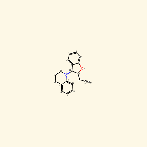 CNCC1Oc2ccccc2C1N1CCCc2ccccc21